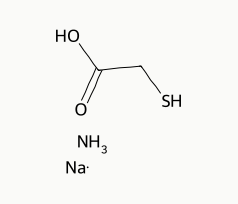 N.O=C(O)CS.[Na]